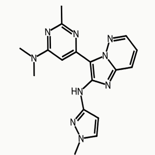 Cc1nc(-c2c(Nc3ccn(C)n3)nc3cccnn23)cc(N(C)C)n1